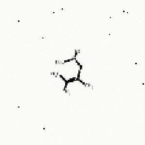 CCN(C)CC(C)=C(C)C